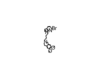 COc1cc2c(cc1OC)CN(CCCCn1ccc3ccc(Br)nc31)CC2